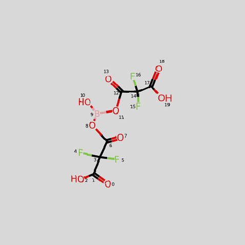 O=C(O)C(F)(F)C(=O)OB(O)OC(=O)C(F)(F)C(=O)O